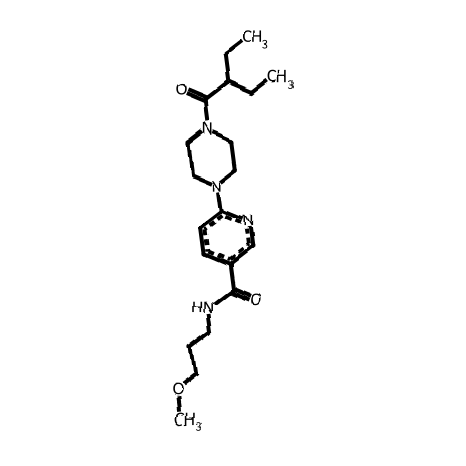 CCC(CC)C(=O)N1CCN(c2ccc(C(=O)NCCCOC)cn2)CC1